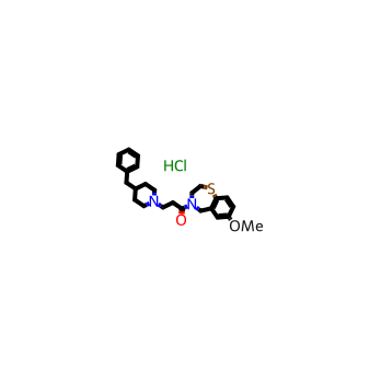 COc1ccc2c(c1)CN(C(=O)CCN1CCC(Cc3ccccc3)CC1)CCS2.Cl